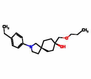 CCCOC[C@]1(O)CC[C@]2(CCN(c3ccc(CC)cc3)C2)CC1